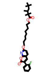 CC(CC(C)(C)C)C(C)(C)C(=O)OCCCCCCCCCOc1ccc2cc(-c3ccccc3F)c(=O)oc2n1